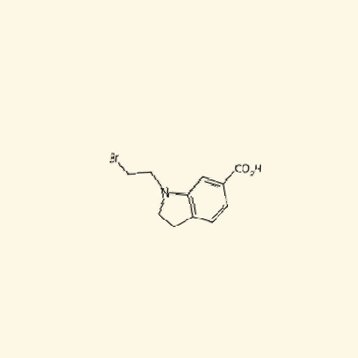 O=C(O)c1ccc2c(c1)N(CCBr)CC2